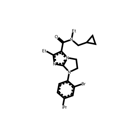 CCc1nc2n(c1C(=O)N(CC)CC1CC1)CCN2c1ccc(C(C)C)cc1Br